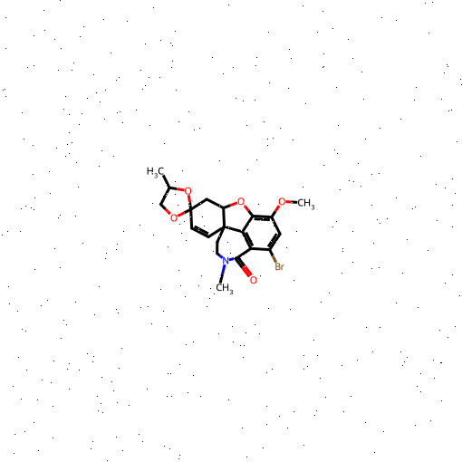 COc1cc(Br)c2c3c1OC1CC4(C=CC31CCN(C)C2=O)OCC(C)O4